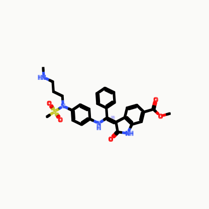 CNCCCN(c1ccc(N/C(=C2\C(=O)Nc3cc(C(=O)OC)ccc32)c2ccccc2)cc1)S(C)(=O)=O